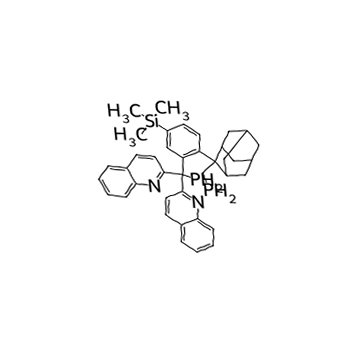 C[Si](C)(C)c1ccc(C2(CP)C3CC4CC(C3)CC2C4)c(C(P)(c2ccc3ccccc3n2)c2ccc3ccccc3n2)c1